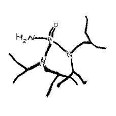 CC(C)N(C(C)C)P(N)(=O)N(C(C)C)C(C)C